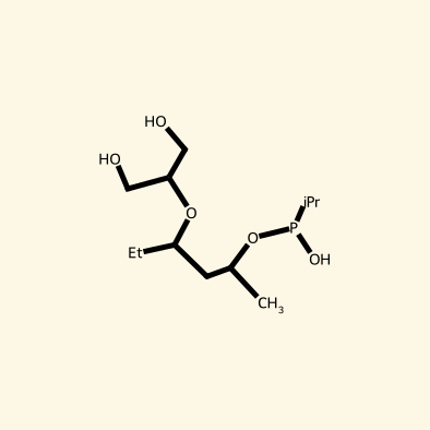 CCC(CC(C)OP(O)C(C)C)OC(CO)CO